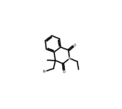 CCN1C(=O)c2ccccc2C(C)(CBr)C1=O